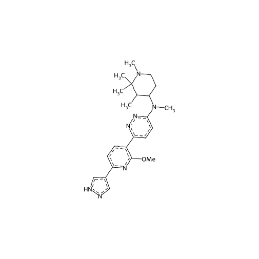 COc1nc(-c2cn[nH]c2)ccc1-c1ccc(N(C)C2CCN(C)C(C)(C)C2C)nn1